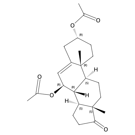 CC(=O)O[C@@H]1CC[C@@]2(C)C(=C[C@H](OC(C)=O)[C@@H]3[C@@H]2CC[C@]2(C)C(=O)CC[C@@H]32)C1